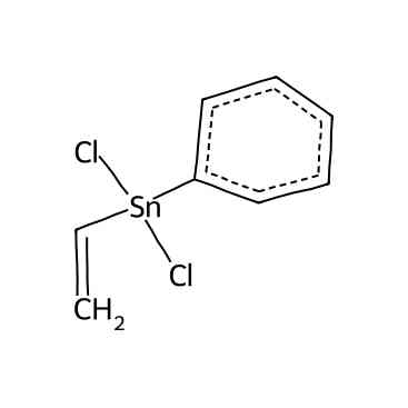 C=[CH][Sn]([Cl])([Cl])[c]1ccccc1